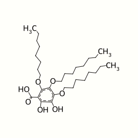 CCCCCCCCOc1c(O)c(O)c(C(=O)O)c(OCCCCCCCC)c1OCCCCCCCC